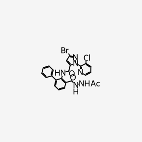 CC(=O)NNC(=O)c1cccc(-c2ccccc2)c1NC(=O)c1cc(Br)nn1-c1ncccc1Cl